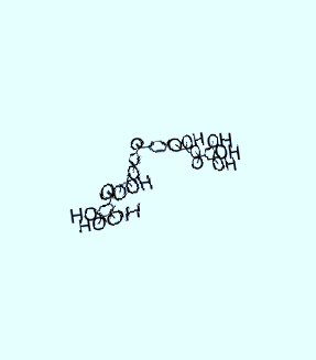 O=C(OCC(O)COc1ccc(C(=O)c2ccc(OCC(O)COC(=O)c3cc(O)c(O)c(O)c3)cc2)cc1)c1cc(O)c(O)c(O)c1